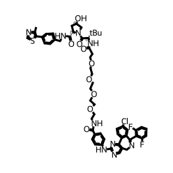 Cc1ncsc1-c1ccc(CNC(=O)[C@@H]2C[C@@H](O)CN2C(=O)[C@@H](NC(=O)CCOCCOCCOCCOCCNC(=O)c2ccc(Nc3ncc4c(n3)-c3ccc(Cl)cc3C(c3c(F)cccc3F)=NC4)cc2)C(C)(C)C)cc1